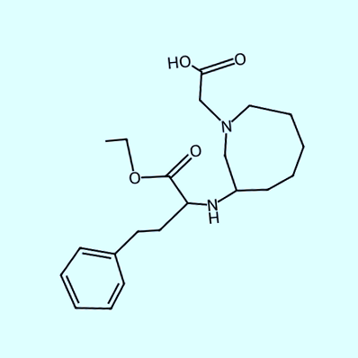 CCOC(=O)C(CCc1ccccc1)NC1CCCCCN(CC(=O)O)C1